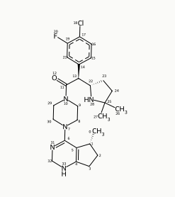 C[C@@H]1CCC2=C1C(N1CCN(C(=O)[C@@H](c3ccc(Cl)c(F)c3)[C@@H]3CCC(C)(C)N3)CC1)=NCN2